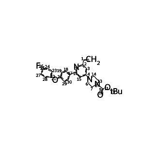 C=Cc1cc(N2CCN(C(=O)OC(C)(C)C)CC2)cc(-c2ccc(Oc3ccc(F)cc3)cc2)n1